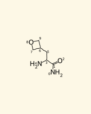 NC(=O)C(N)CC1COC1